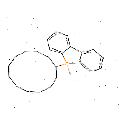 C[P]1(C2CCCCCCCCCCC2)c2ccccc2-c2ccccc21